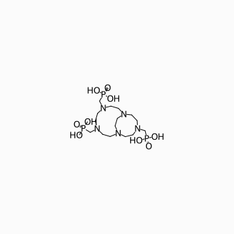 O=P(O)(O)CN1CCN2CCN(CC1)CCN(CP(=O)(O)O)CCN(CP(=O)(O)O)CC2